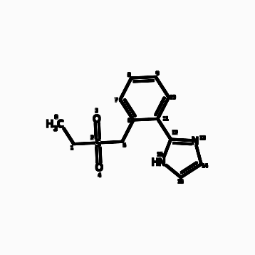 CCS(=O)(=O)Cc1ccccc1-c1ncc[nH]1